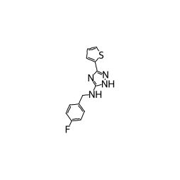 Fc1ccc(CNc2nc(-c3cccs3)n[nH]2)cc1